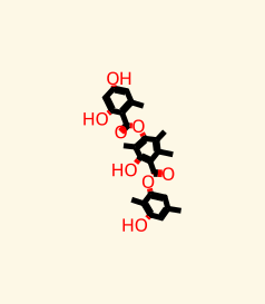 Cc1cc(O)c(C)c(OC(=O)c2c(C)c(C)c(OC(=O)c3c(C)cc(O)cc3O)c(C)c2O)c1